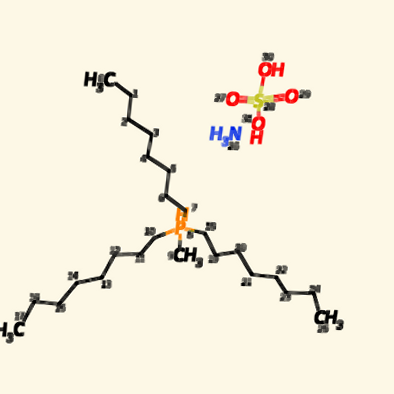 CCCCCCCC[PH](C)(CCCCCCCC)CCCCCCCC.N.O=S(=O)(O)O